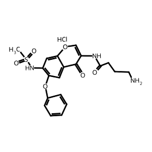 CS(=O)(=O)Nc1cc2occ(NC(=O)CCCN)c(=O)c2cc1Oc1ccccc1.Cl